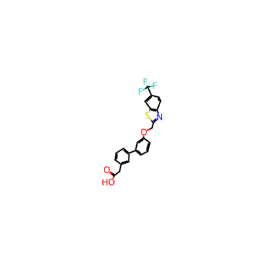 O=C(O)Cc1cccc(-c2cccc(OCc3nc4ccc(C(F)(F)F)cc4s3)c2)c1